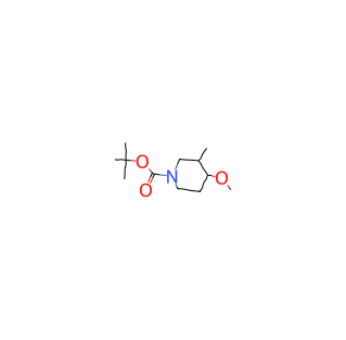 COC1CCN(C(=O)OC(C)(C)C)CC1C